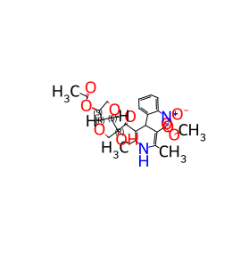 COC(=O)C1=C(C)NC(C)=C(C(=O)[C@@]2(O)CO[C@@H]3[C@@H](OC(C)=O)CO[C@@H]32)C1c1ccccc1[N+](=O)[O-]